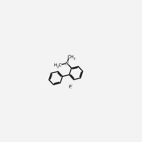 CN(C)c1ccccc1-c1ccccc1.[P]